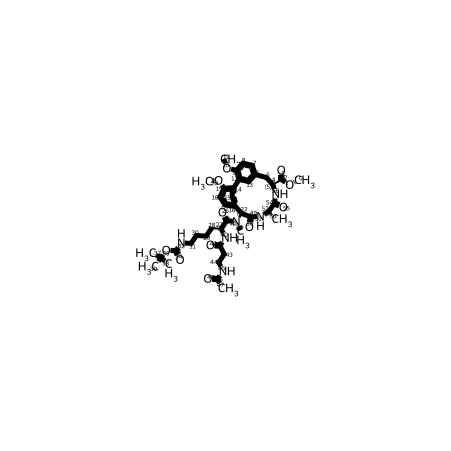 COC(=O)[C@@H]1Cc2ccc(OC)c(c2)-c2cc(ccc2OC)[C@H](N(C)C(=O)[C@H](CCCCNC(=O)OC(C)(C)C)NC(=O)CCNC(C)=O)C(=O)N[C@@H](C)C(=O)N1